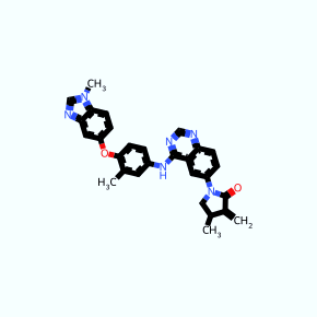 C=C1C(=O)N(c2ccc3ncnc(Nc4ccc(Oc5ccc6c(c5)ncn6C)c(C)c4)c3c2)CC1C